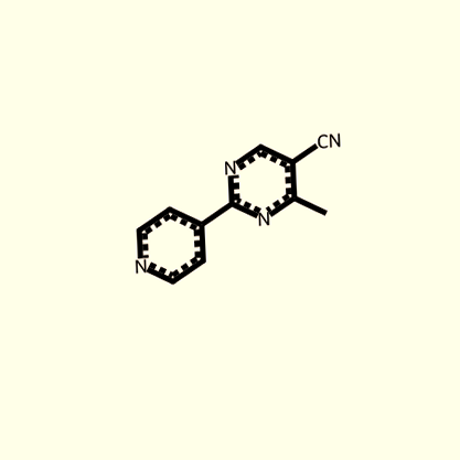 Cc1nc(-c2ccncc2)ncc1C#N